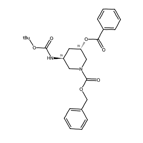 CC(C)(C)OC(=O)N[C@H]1C[C@H](OC(=O)c2ccccc2)CN(C(=O)OCc2ccccc2)C1